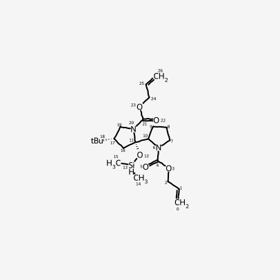 C=CCOC(=O)N1CCCC1[C@@]1(O[SiH](C)C)C[C@H](C(C)(C)C)CN1C(=O)OCC=C